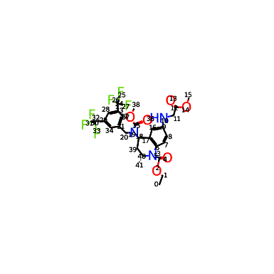 CCOC(=O)N1c2ccc(NCC(=O)OC)cc2[C@@H](N(Cc2cc(C(F)(F)F)cc(C(F)(F)F)c2)C(=O)OC)C[C@H]1C